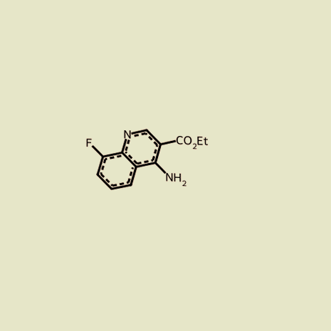 CCOC(=O)c1cnc2c(F)cccc2c1N